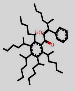 CCCCC(C)C(=C(O)C(=O)c1c(C(C)CCCC)c(C(C)CCCC)c(C(C)CCCC)c(C(C)CCCC)c1C(C)CCCC)c1ccccc1